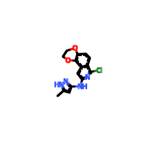 Cc1cc(Nc2cc3c4c(ccc3c(Cl)n2)OCCO4)n[nH]1